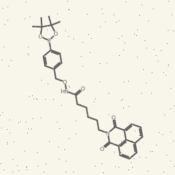 CC1(C)OB(c2ccc(CONC(=O)CCCCCN3C(=O)c4cccc5cccc(c45)C3=O)cc2)OC1(C)C